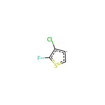 Fc1sc[c]c1Cl